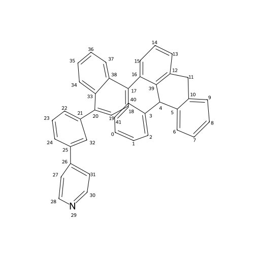 c1ccc(C2c3ccccc3Cc3cccc(-c4ccc(-c5cccc(-c6ccncc6)c5)c5ccccc45)c32)cc1